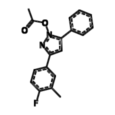 CC(=O)On1nc(-c2ccc(F)c(C)c2)cc1-c1ccccc1